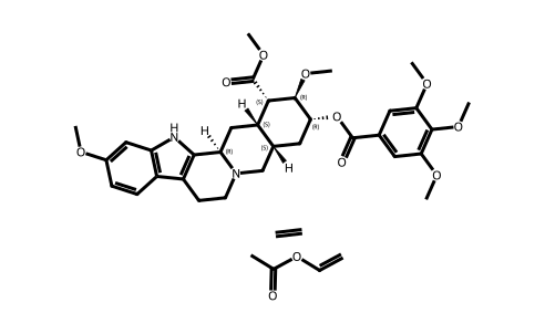 C=C.C=COC(C)=O.COC(=O)[C@H]1[C@H]2C[C@@H]3c4[nH]c5cc(OC)ccc5c4CCN3C[C@H]2C[C@@H](OC(=O)c2cc(OC)c(OC)c(OC)c2)[C@@H]1OC